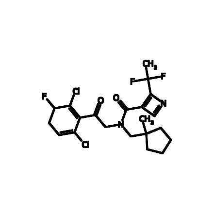 CC1(CN(CC(=O)C2=C(Cl)C(F)CC=C2Cl)C(=O)C2=C(C(C)(F)F)N=C2)CCCC1